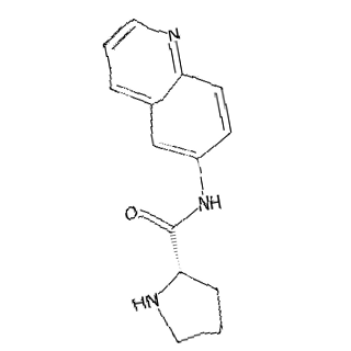 O=C(Nc1ccc2ncccc2c1)[C@@H]1CCCN1